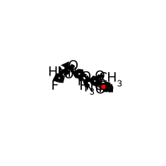 COc1cc2c(Oc3ccc(NC(=O)C4(C(=O)Nc5ccc(F)cc5)CC4)cc3F)ccnc2cc1OC(=O)N1C2CCC1CN(C)C2